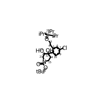 CC(C)[Si](OCCc1cc(Cl)ccc1C1(O)CCN(C(=O)OC(C)(C)C)CC1O)(C(C)C)C(C)C